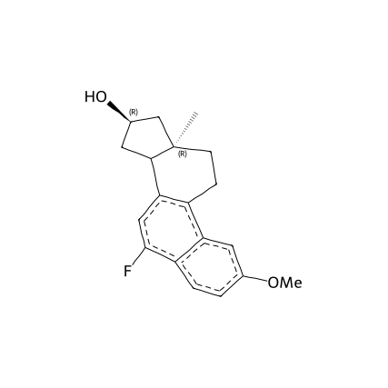 COc1ccc2c(F)cc3c(c2c1)CC[C@]1(C)C[C@H](O)CC31